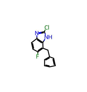 Fc1ccc2nc(Cl)[nH]c2c1Cc1ccccc1